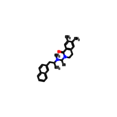 CCC(N1CCc2cc(C)c(C)cc2C1=O)N(C)C(C)Cc1ccc2ccccc2c1